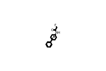 O=C(CF)NC12CCC(c3ccccc3)(CC1)CC2